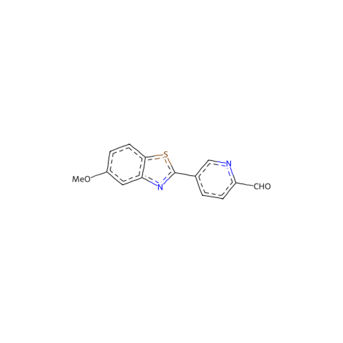 COc1ccc2sc(-c3ccc(C=O)nc3)nc2c1